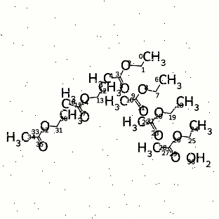 CCOC(C)=O.CCOC(C)=O.CCOC(C)=O.CCOC(C)=O.CCOC(C)=O.CCOC(C)=O.O